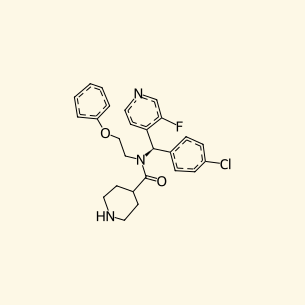 O=C(C1CCNCC1)N(CCOc1ccccc1)[C@H](c1ccc(Cl)cc1)c1ccncc1F